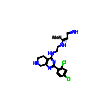 CN/C(=C\C=N)NCCNc1nc(-c2ccc(Cl)cc2Cl)nc2c1CCNC2